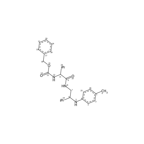 Cc1ccc(NC(CNC(=O)C(NC(=O)OCc2ccccc2)C(C)C)C(C)C)cc1